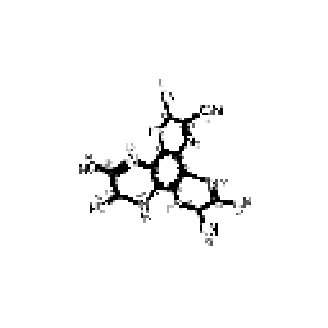 N#CC1=Nc2c3c(c4c(c2NC1C#N)N=C(C#N)C(C#N)N4)NC(C#N)C(C#N)=N3